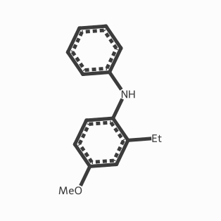 CCc1cc(OC)ccc1Nc1ccccc1